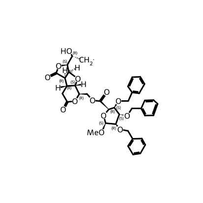 [CH2][C@@H](O)[C@@H]1OC(=O)[C@@H]2[C@H]3CC(=O)O[C@H](COC(=O)[C@@H]4O[C@H](OC)[C@H](OCc5ccccc5)[C@@H](OCc5ccccc5)[C@@H]4OCc4ccccc4)[C@H]3O[C@H]12